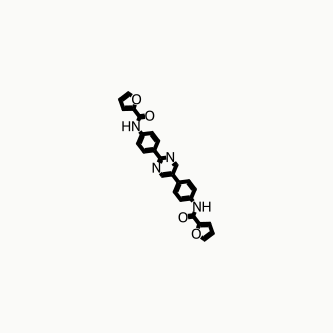 O=C(Nc1ccc(-c2cnc(-c3ccc(NC(=O)c4ccco4)cc3)nc2)cc1)c1ccco1